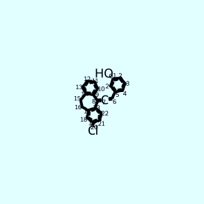 Oc1cccc(C=C=C2c3ccccc3CCc3cc(Cl)ccc32)c1